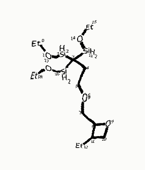 CCO[SiH2]C(CCOCC1OCC1CC)([SiH2]OCC)[SiH2]OCC